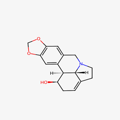 O[C@@H]1CC=C2CCN3Cc4cc5c(cc4[C@H]1[C@@H]23)OCO5